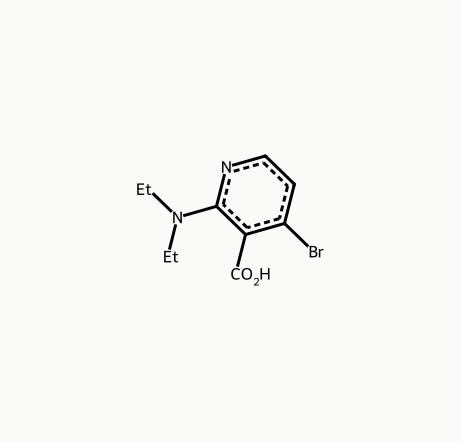 CCN(CC)c1nccc(Br)c1C(=O)O